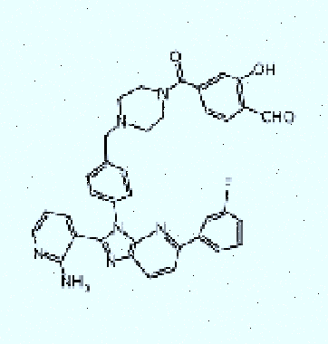 Nc1ncccc1-c1nc2ccc(-c3cccc(F)c3)nc2n1-c1ccc(CN2CCN(C(=O)c3ccc(C=O)c(O)c3)CC2)cc1